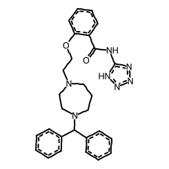 O=C(Nc1nnn[nH]1)c1ccccc1OCCN1CCCN(C(c2ccccc2)c2ccccc2)CC1